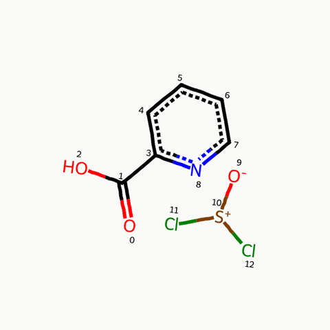 O=C(O)c1ccccn1.[O-][S+](Cl)Cl